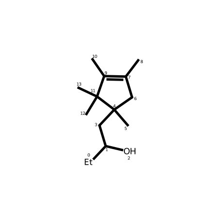 CCC(O)CC1(C)CC(C)=C(C)C1(C)C